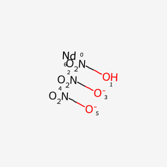 O=[N+]([O-])O.O=[N+]([O-])[O-].O=[N+]([O-])[O-].[Nd]